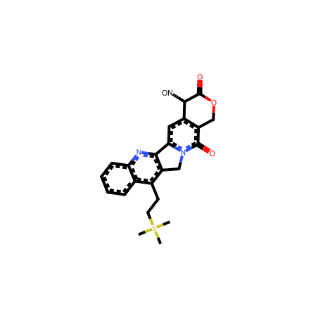 CS(C)(C)CCc1c2c(nc3ccccc13)-c1cc3c(c(=O)n1C2)COC(=O)C3N=O